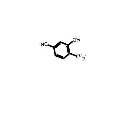 [CH2]c1ccc(C#N)cc1O